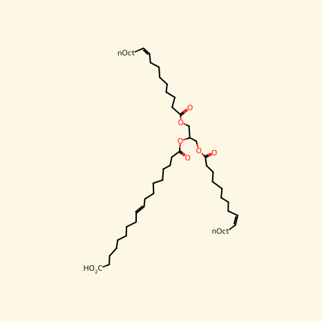 CCCCCCCC/C=C\CCCCCCCC(=O)OCC(COC(=O)CCCCCCC/C=C\CCCCCCCC)OC(=O)CCCCCCC/C=C/CCCCCCCC(=O)O